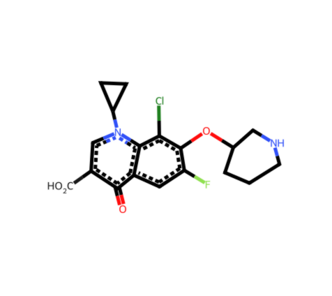 O=C(O)c1cn(C2CC2)c2c(Cl)c(OC3CCCNC3)c(F)cc2c1=O